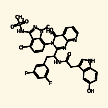 Cn1nc(NS(C)(=O)=O)c2c(Cl)ccc(-n3c(C(Cc4cc(F)cc(F)c4)NC(=O)Cc4c[nH]c5ccc(O)cc45)nc4ncccc4c3=O)c21